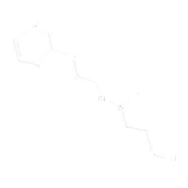 COCCC(=O)NCCOc1ccccc1